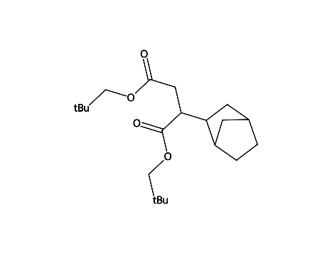 CC(C)(C)COC(=O)CC(C(=O)OCC(C)(C)C)C1CC2CCC1C2